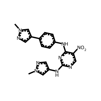 Cn1cc(Nc2ncc([N+](=O)[O-])c(Nc3ccc(-c4cnn(C)c4)cc3)n2)cn1